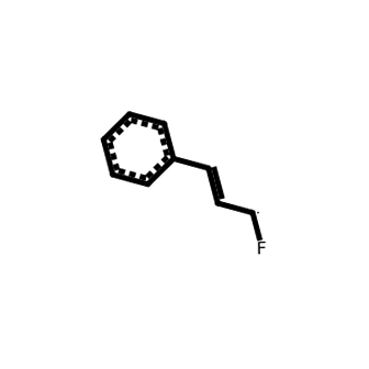 F[CH]C=Cc1ccccc1